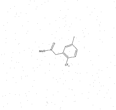 COC(=O)Cc1cc(F)ccc1C(F)(F)F